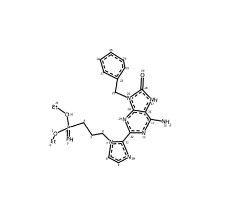 CCOP(=P)(CCCn1ccnc1-c1nc(N)c2[nH]c(=O)n(Cc3ccccc3)c2n1)OCC